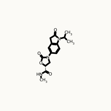 CNC(=O)[C@H]1CN(c2ccc3c(c2)CC(=O)N3C(C)C)C(=O)O1